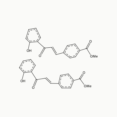 COC(=O)c1ccc(/C=C/C(=O)c2ccccc2O)cc1.COC(=O)c1ccc(/C=C/C(=O)c2ccccc2O)cc1